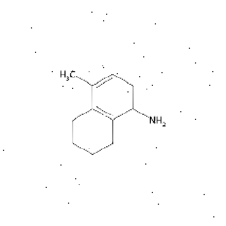 CC1=CCC(N)C2=C1CCCC2